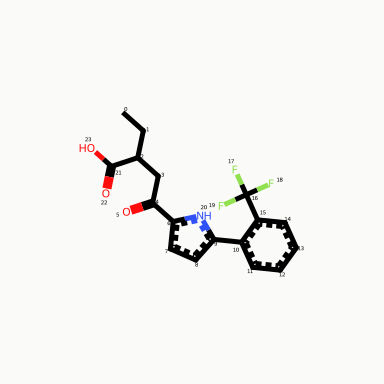 CCC(CC(=O)c1ccc(-c2ccccc2C(F)(F)F)[nH]1)C(=O)O